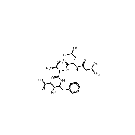 CC(C)CC(=O)N[C@@H](CC(C)C)C(=O)N[C@H](C(=O)NC(Cc1ccccc1)C(N)CC(=O)O)C(C)C